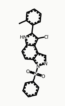 Cc1ccccc1-c1[nH]c2ccc3c(cnn3S(=O)(=O)c3ccccc3)c2c1Cl